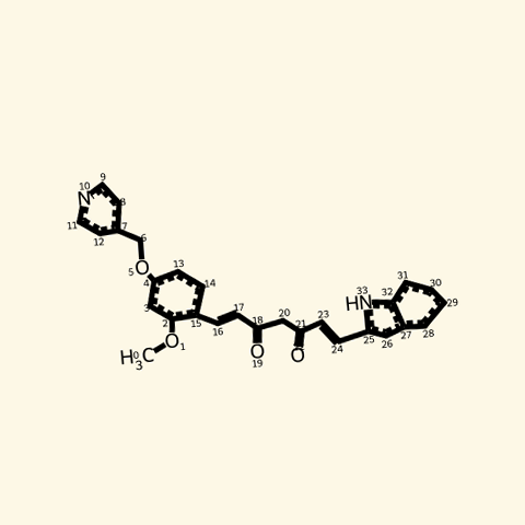 COc1cc(OCc2ccncc2)ccc1C=CC(=O)CC(=O)C=Cc1cc2ccccc2[nH]1